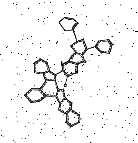 Clc1nc2oc3c(-c4ccccc4)cc(C4=CC=CCC4)cc3c2nc1-n1c2ccccc2c2c3ccccc3c3c4cc5ccccc5cc4sc3c21